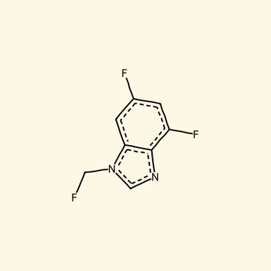 FCn1cnc2c(F)cc(F)cc21